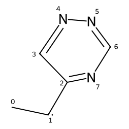 C[CH]c1cnncn1